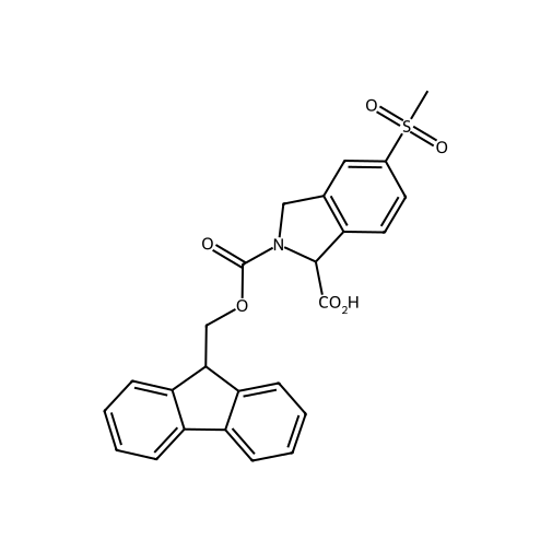 CS(=O)(=O)c1ccc2c(c1)CN(C(=O)OCC1c3ccccc3-c3ccccc31)C2C(=O)O